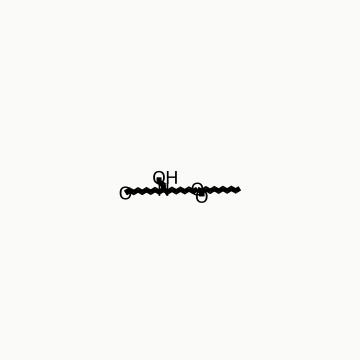 CCCCCCCCCC(=O)OCCCCCCCN(CCO)CCCCCCCC=O